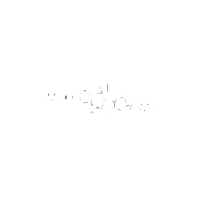 CCc1c2c(c(Cl)c3ccc(OC)cc13)-c1ccc(OC)cc1C2